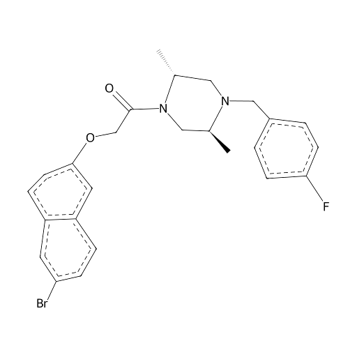 C[C@@H]1CN(Cc2ccc(F)cc2)[C@@H](C)CN1C(=O)COc1ccc2cc(Br)ccc2c1